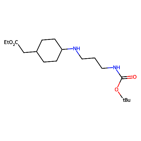 CCOC(=O)CC1CCC(NCCCNC(=O)OC(C)(C)C)CC1